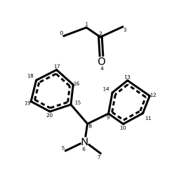 CCC(C)=O.CN(C)C(c1ccccc1)c1ccccc1